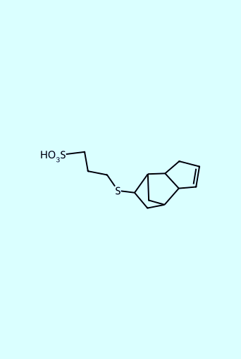 O=S(=O)(O)CCCSC1CC2CC1C1CC=CC21